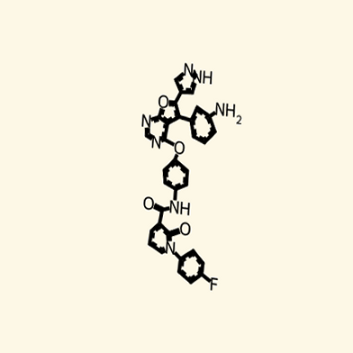 Nc1cccc(-c2c(-c3cn[nH]c3)oc3ncnc(Oc4ccc(NC(=O)c5cccn(-c6ccc(F)cc6)c5=O)cc4)c23)c1